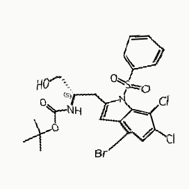 CC(C)(C)OC(=O)N[C@H](CO)Cc1cc2c(Br)cc(Cl)c(Cl)c2n1S(=O)(=O)c1ccccc1